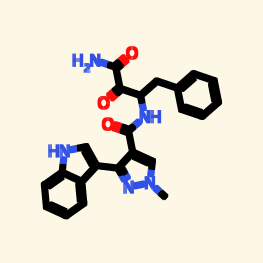 Cn1cc(C(=O)NC(Cc2ccccc2)C(=O)C(N)=O)c(-c2c[nH]c3ccccc23)n1